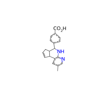 Cc1cnc2c(c1)C1C=CCC1C(c1ccc(C(=O)O)cc1)N2